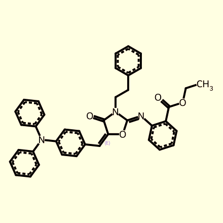 CCOC(=O)c1ccccc1N=C1O/C(=C/c2ccc(N(c3ccccc3)c3ccccc3)cc2)C(=O)N1CCc1ccccc1